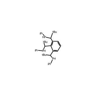 CC(C)PC(c1cccc(C(PC(C)C)C(C)(C)C)c1C(PC(C)C)C(C)(C)C)C(C)(C)C